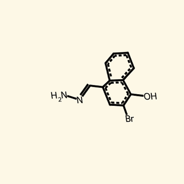 NN=Cc1cc(Br)c(O)c2ccccc12